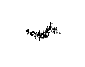 CC(C)(C)OC(=O)Nc1ncc(C(=O)Nc2cc(C(=O)Nc3ccc(OC4CC4)cn3)c(F)cc2Br)s1